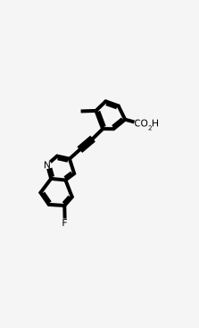 Cc1ccc(C(=O)O)cc1C#Cc1cnc2ccc(F)cc2c1